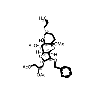 C=CC[C@@H]1CCC2(OC)O[C@@H]3[C@@H](O[C@H](C[C@H](COC(C)=O)OC(C)=O)[C@@H]3OCc3ccccc3)[C@H](OC(C)=O)[C@H]2O1